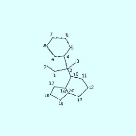 CCC(C)(C1CCCCC1)C1CCCC2CCCC21